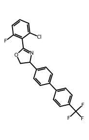 Fc1cccc(Cl)c1C1=NC(c2ccc(-c3ccc(C(F)(F)F)cc3)cc2)CO1